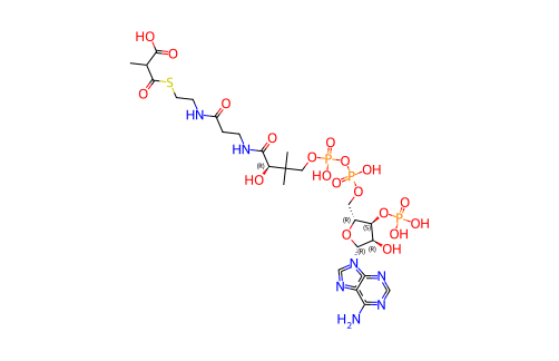 CC(C(=O)O)C(=O)SCCNC(=O)CCNC(=O)[C@H](O)C(C)(C)COP(=O)(O)OP(=O)(O)OC[C@H]1O[C@@H](n2cnc3c(N)ncnc32)[C@H](O)[C@@H]1OP(=O)(O)O